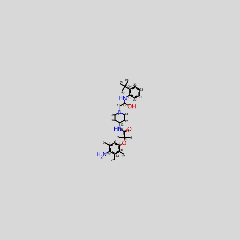 Cc1cc(OC(C)(C)C(=O)NC2CCN(CC(O)Nc3ccccc3C(C)(C)C)CC2)c(C)c(C)c1N